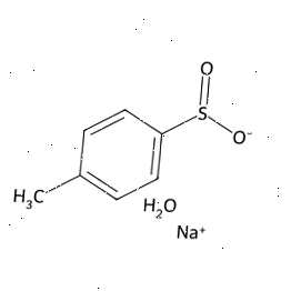 Cc1ccc(S(=O)[O-])cc1.O.[Na+]